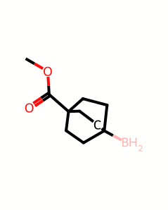 BC12CCC(C(=O)OC)(CC1)CC2